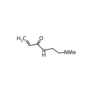 C=CC(=O)NCCNC